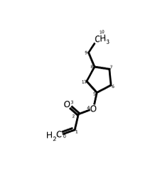 C=CC(=O)OC1CCC(CC)C1